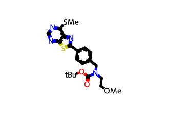 COCCN(Cc1ccc(-c2nc3c(SC)ncnc3s2)cc1)C(=O)OC(C)(C)C